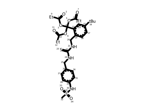 CCC(=O)OC(OC(=O)CC)(OC(=O)CC)c1cc(C(C)(C)C)ccc1CNC(=S)NCc1ccc(NS(C)(=O)=O)cc1